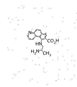 CC(N)CNc1c(C(=O)O)sc2ccc3ncccc3c12